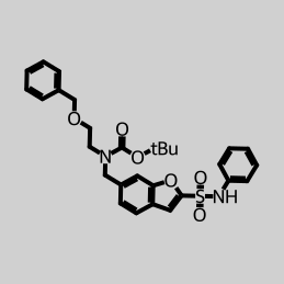 CC(C)(C)OC(=O)N(CCOCc1ccccc1)Cc1ccc2cc(S(=O)(=O)Nc3ccccc3)oc2c1